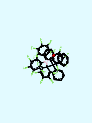 FC1=C(F)C(F)C([B-](c2c(F)c(F)c(F)c(F)c2F)(c2c(F)c(F)c(F)c(F)c2F)c2c(F)c(F)c(F)c(F)c2F)(C(c2ccccc2)(c2ccccc2)c2ccccc2)C(F)=C1F